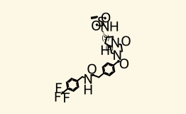 C=CS(=O)(=O)NC[C@H]1C[C@H]2CN(C(=O)c3ccc(CC(=O)NCc4ccc(C(F)(F)F)cc4)cc3)CC(=O)N2C1